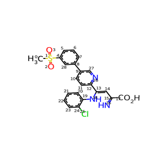 CS(=O)(=O)c1cccc(-c2ccc(/C(=C/C(=N)C(=O)O)Nc3ccccc3Cl)nc2)c1